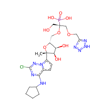 C[C@@]1(c2ccc3c(NC4CCCC4)nc(Cl)nn23)O[C@H](CO[C@@](CO)(COCc2nn[nH]n2)P(=O)(O)O)[C@@H](O)[C@H]1O